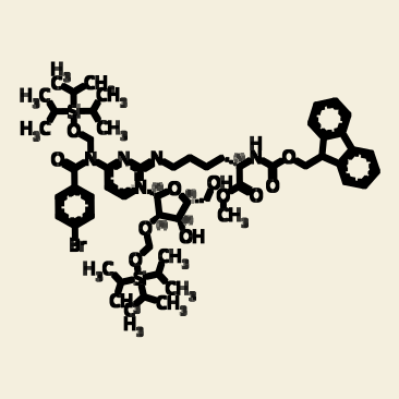 COC(=O)[C@H](CCCCN=c1nc(N(CO[Si](C(C)C)(C(C)C)C(C)C)C(=O)c2ccc(Br)cc2)ccn1[C@@H]1O[C@H](CO)[C@@H](O)[C@H]1OCO[Si](C(C)C)(C(C)C)C(C)C)NC(=O)OCC1c2ccccc2-c2ccccc21